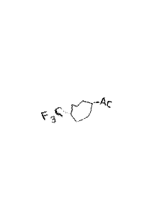 CC(=O)[C@H]1CC[C@H](C(F)(F)F)CC1